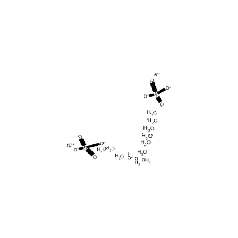 O.O.O.O.O.O.O.O.O.O.O.O.O=S(=O)([O-])[O-].O=S(=O)([O-])[O-].[Al+3].[K+]